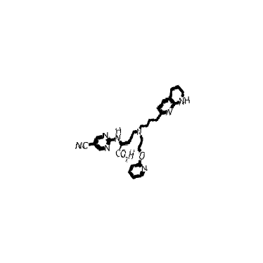 N#Cc1cnc(N[C@@H](CCN(CCCCc2ccc3c(n2)NCCC3)CCOc2ccccn2)C(=O)O)nc1